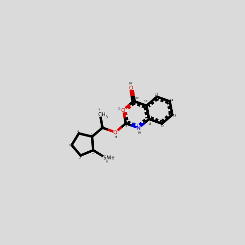 CSC1CCCC1C(C)Oc1nc2ccccc2c(=O)o1